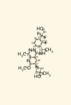 COc1nc2c(C)nnc(N[C@H](C)c3cccc(C(F)(F)CO)c3F)c2cc1N1CC(C)(O)C1